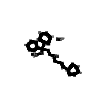 COC(CCNCC=Cc1ccccc1)(c1ccccc1)c1ccccc1.Cl